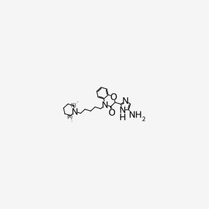 C[C@@H]1CCC[C@H](C)N1CCCCCN1C(=O)C(c2ncc(N)[nH]2)Oc2ccccc21